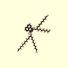 CCCCCCCCCCCCC(CCCCCCCCCC)COC(=O)c1cccc2cccc(C(=O)OCC(CCCCCCCC)CCCCCCCCCC)c12